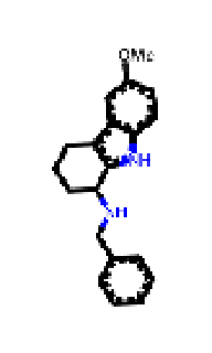 COc1ccc2[nH]c3c(c2c1)CCCC3NCc1ccccc1